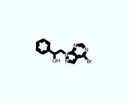 OC(Cn1ncc2c(Br)ncnc21)c1ccccc1